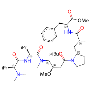 CC[C@H](C)[C@@H]([C@@H](CC(=O)N1CCC[C@H]1C[C@@H](C)C(=O)N[C@@H](Cc1ccccc1)C(=O)OC)OC)N(C)C(=O)[C@@H](NC(=O)[C@H](C(C)C)N(C)C)C(C)C